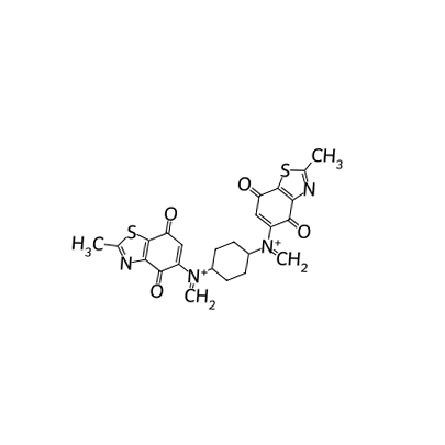 C=[N+](C1=CC(=O)c2sc(C)nc2C1=O)C1CCC([N+](=C)C2=CC(=O)c3sc(C)nc3C2=O)CC1